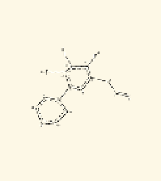 C=CCc1cc(-c2ccccc2)c(F)c(F)c1F